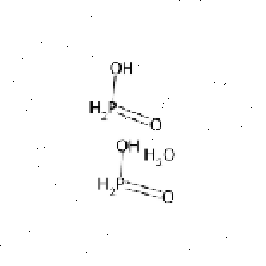 O.O=[PH2]O.O=[PH2]O